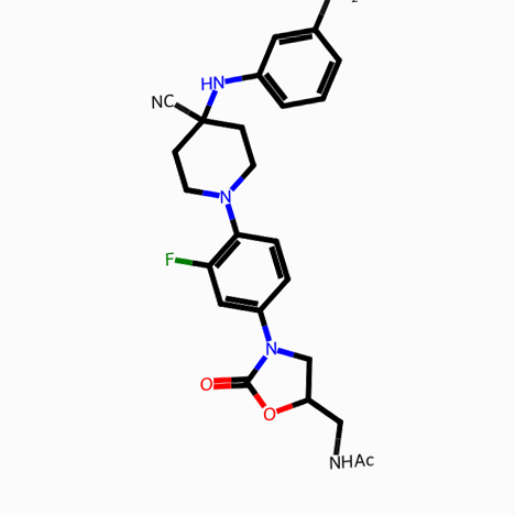 CC(=O)NCC1CN(c2ccc(N3CCC(C#N)(Nc4cccc([N+](=O)[O-])c4)CC3)c(F)c2)C(=O)O1